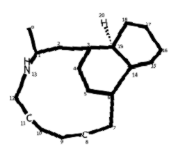 CC1CC2CCC(CCCCCCN1)C1CCCC[C@H]21